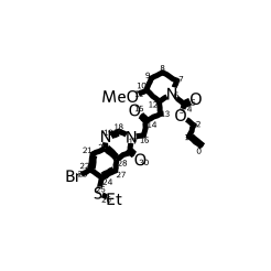 C=CCOC(=O)N1CCCC(OC)C1CC(=O)Cn1cnc2cc(Br)c(SCC)cc2c1=O